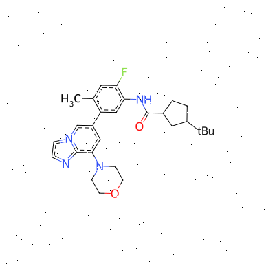 Cc1cc(F)c(NC(=O)C2CCC(C(C)(C)C)C2)cc1-c1cc(N2CCOCC2)c2nccn2c1